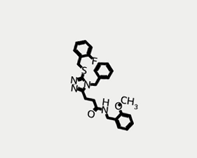 COc1ccccc1CNC(=O)CCc1nnc(SCc2ccccc2F)n1Cc1ccccc1